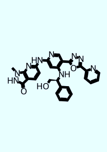 Cn1[nH]c(=O)c2ccc(Nc3cc(N[C@H](CO)c4ccccc4)c(-c4nnc(-c5ccccn5)o4)cn3)nc21